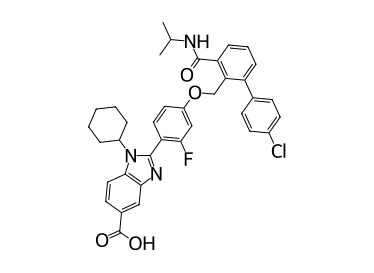 CC(C)NC(=O)c1cccc(-c2ccc(Cl)cc2)c1COc1ccc(-c2nc3cc(C(=O)O)ccc3n2C2CCCCC2)c(F)c1